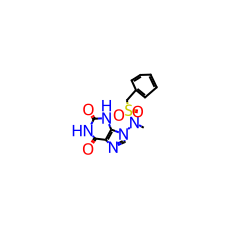 CN(n1cnc2c(=O)[nH]c(=O)[nH]c21)S(=O)(=O)Cc1ccccc1